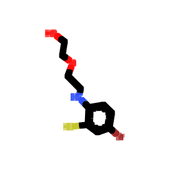 OCCOCCNc1ccc(Br)cc1S